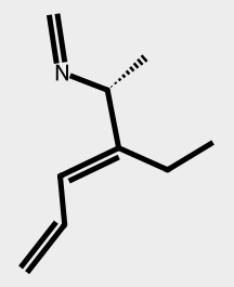 C=C/C=C(\CC)[C@@H](C)N=C